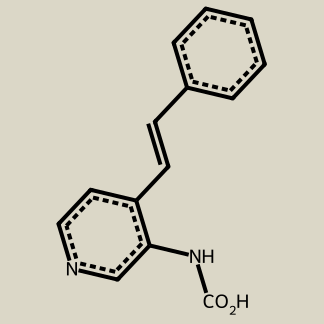 O=C(O)Nc1cnccc1C=Cc1ccccc1